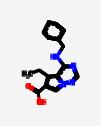 CCc1c(C(=O)O)cn2ncnc(NCc3ccccc3)c12